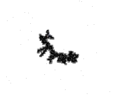 C=C/C=C\CCCC1(CCC/C=C\C=C)c2cc(C)ccc2-c2ccc(-c3ccc4c(c3)C(CCCCCCCC)(CCCCCCCC)c3cc(-c5ccc(N(c6ccc(-c7ccc8c(c7)C(C7=CCC(C)C=C7)(c7ccc(C)cc7)c7cc(-c9ccc%10c(c9)C(C9=CCC%11CCC%11=C9)(c9ccc%11c(c9)CC%11)c9cc(C)ccc9-%10)ccc7-8)cc6)c6ccc(C(C)CC)cc6)cc5)ccc3-4)cc21